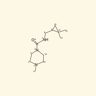 CN1CCN(C(=O)NCC2CC2(C)C)CC1